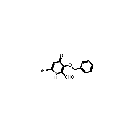 CCCc1cc(=O)c(OCc2ccccc2)c(C=O)[nH]1